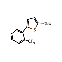 CC(C)(C)c1ccc(-c2ccccc2C(F)(F)F)s1